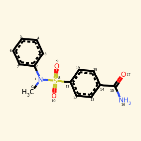 CN(c1ccccc1)S(=O)(=O)c1ccc(C(N)=O)cc1